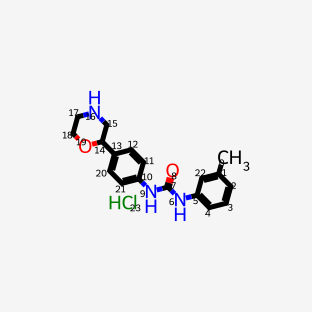 Cc1cccc(NC(=O)Nc2ccc(C3CNCCO3)cc2)c1.Cl